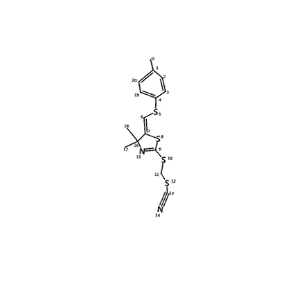 Cc1ccc(SC=C2SC(SCSC#N)=NC2(C)C)cc1